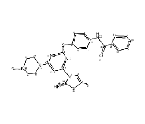 Cc1cn(-c2nc(Sc3ccc(NC(=O)c4ccccc4)cc3)nc(N3CCN(C)CC3)n2)c(=N)s1